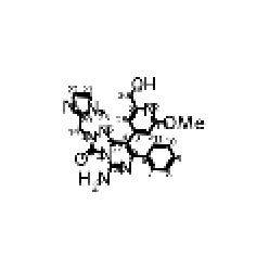 COc1cc(-c2c(-c3ccccc3)nc(N)n3c(=O)n(Cc4nccn4C)nc23)cc(CO)n1